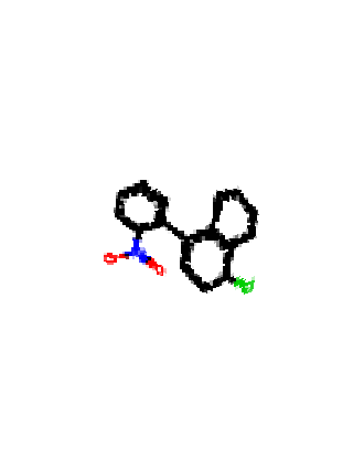 O=[N+]([O-])c1ccccc1-c1ccc(Cl)c2ccccc12